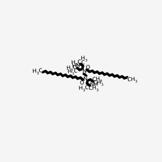 CCCCCCCCCCCCCCCCCC(=O)N(CCN(C(=O)CCCCCCCCCCCCCCCCC)C1CC(C)(C)NC(C)(C)C1)C1CC(C)(C)NC(C)(C)C1